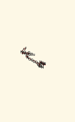 Cc1n[nH]c(Nc2ncnc3cc(OCCOCCOCCOCCOCCN4CCN(C[C@H]5CN(C(=O)OC(C)(C)C)[C@@H](C)CN5CC(=O)N5CC(C)(C)c6ncc(Cc7ccc(F)cc7)cc65)[C@@H](C)C4)c(S(=O)(=O)C(C)(C)C)cc23)c1C